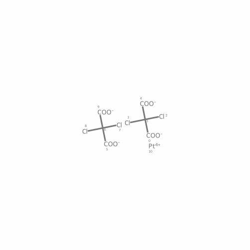 O=C([O-])C(Cl)(Cl)C(=O)[O-].O=C([O-])C(Cl)(Cl)C(=O)[O-].[Pt+4]